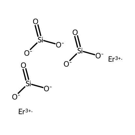 O=[Si]([O-])[O-].O=[Si]([O-])[O-].O=[Si]([O-])[O-].[Er+3].[Er+3]